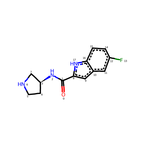 O=C(N[C@H]1CCNC1)c1cc2cc(F)ccc2[nH]1